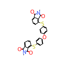 CN1C(=O)c2cccc(Sc3ccc(Oc4ccc(Sc5cccc6c5C(=O)N(C)C6=O)cc4)cc3)c2C1=O